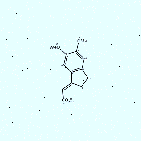 CCOC(=O)C=C1CCc2cc(OC)c(OC)cc21